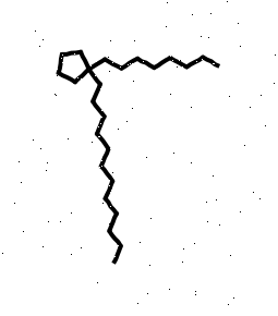 CCCCCCCCCCCCC1(CCCCCCCC)CCCC1